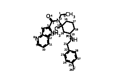 CCN(C(=O)c1cc2ncccc2[nH]1)C1(C)CCC[C@@H](NCc2ccc(F)cc2)C1